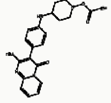 CCCCc1nc2ccccn2c(=O)c1-c1ccc(NC2CCN(OC(=O)C(C)(C)C)CC2)cc1